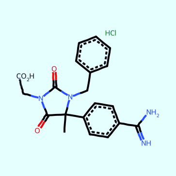 CC1(c2ccc(C(=N)N)cc2)C(=O)N(CC(=O)O)C(=O)N1Cc1ccccc1.Cl